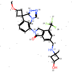 COC1CC(c2cccc(N3Cc4c(cc(CNC5(C)CC(O)C5)cc4C(F)(F)F)C3=O)c2)(c2nncn2C)C1